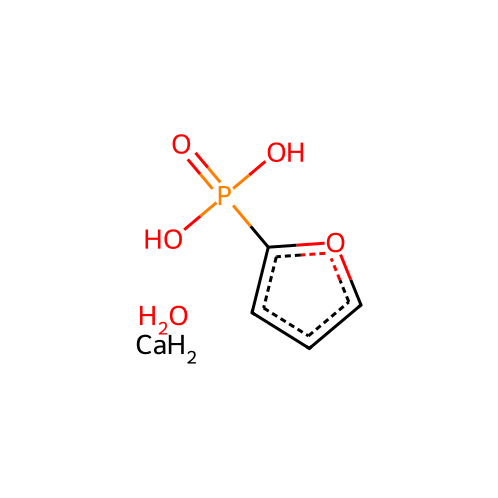 O.O=P(O)(O)c1ccco1.[CaH2]